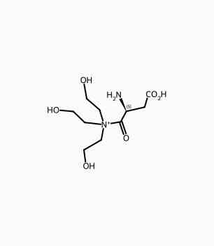 N[C@@H](CC(=O)O)C(=O)[N+](CCO)(CCO)CCO